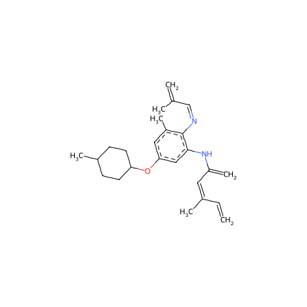 C=C/C(C)=C\C(=C)Nc1cc(OC2CCC(C)CC2)cc(C)c1/N=C\C(=C)C